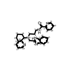 O=C(NCCCN(Cc1nc2ccccc2[nH]1)C1CCCc2cccnc21)c1ccccn1